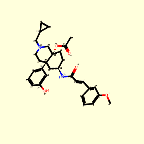 COc1cccc(C=CC(=O)N[C@@H]2CC[C@]3(OC(C)=O)CN(CC4CC4)CC[C@@]3(c3cccc(O)c3)C2)c1